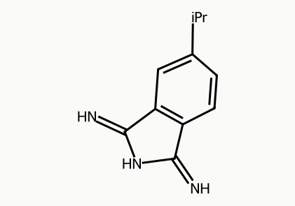 CC(C)c1ccc2c(c1)C(=N)NC2=N